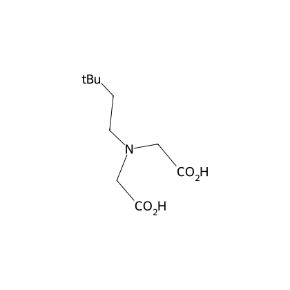 CC(C)(C)CCN(CC(=O)O)CC(=O)O